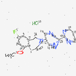 COc1cc(F)cc2c1CCN(c1cnc(-c3ncccn3)nc1)C2.Cl